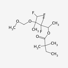 CCC(C)(C)C(=O)OC(C)C(F)(F)C(C)(OCOC)C(F)F